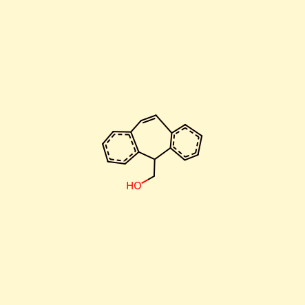 OCC1c2ccccc2C=Cc2ccccc21